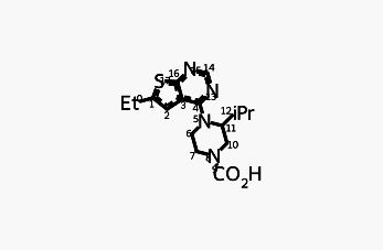 CCc1cc2c(N3CCN(C(=O)O)CC3C(C)C)ncnc2s1